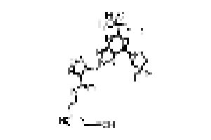 C#CCCC1(CCNC(=O)c2nonc2Cn2nc3nc(C(C)(C)C)nc(N4CCC(F)(F)C4)c3n2)C=N1